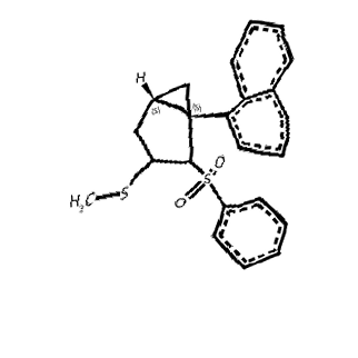 CSC1C[C@@H]2C[C@]2(c2cccc3ccccc23)C1S(=O)(=O)c1ccccc1